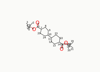 C[Si](C)(C)OC(=O)C1CCC(C2CCC(C(=O)O[Si](C)(C)C)CC2)CC1